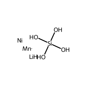 O[Si](O)(O)O.[LiH].[Mn].[Ni]